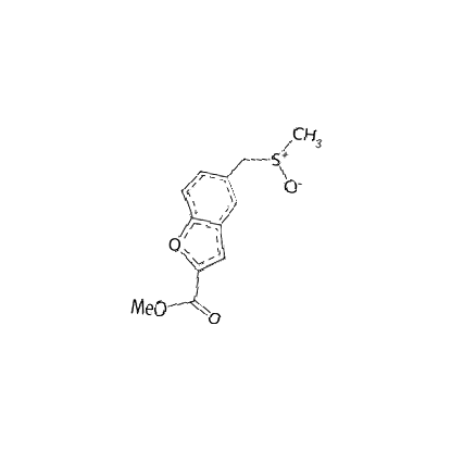 COC(=O)c1cc2cc(C[S+](C)[O-])ccc2o1